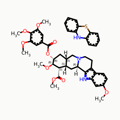 COC(=O)[C@H]1[C@H]2C[C@@H]3c4[nH]c5cc(OC)ccc5c4CCN3C[C@H]2C[C@@H](OC(=O)c2cc(OC)c(OC)c(OC)c2)[C@@H]1OC.c1ccc2c(c1)Nc1ccccc1S2